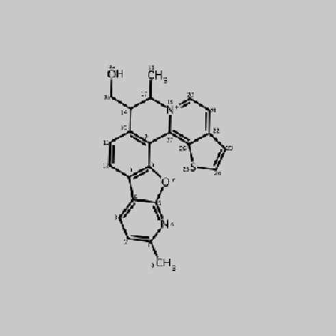 Cc1ccc2c(n1)oc1c3c(ccc12)C(CO)C(C)[n+]1ccc2ccsc2c1-3